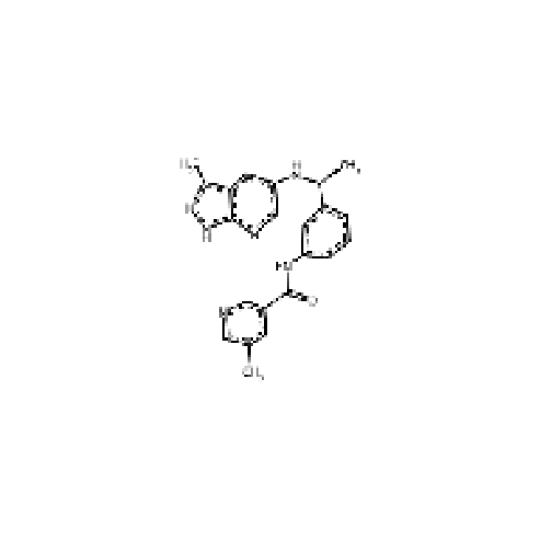 Cc1cncc(C(=O)Nc2cccc([C@H](C)Nc3cnc4[nH]nc(C)c4c3)c2)c1